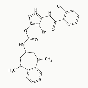 CN1CC(NC(=O)Oc2n[nH]c(NC(=O)c3ccccc3Cl)c2Br)CN(C)c2ccccc21